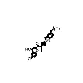 COCc1ccc2nn(C34CC(NC(=O)[C@H]5C[C@@H](O)c6cc(Cl)ccc6O5)(C3)C4)cc2c1